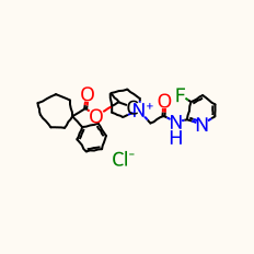 O=C(C[N+]12CCC(CC1)C(OC(=O)C1(c3ccccc3)CCCCCC1)C2)Nc1ncccc1F.[Cl-]